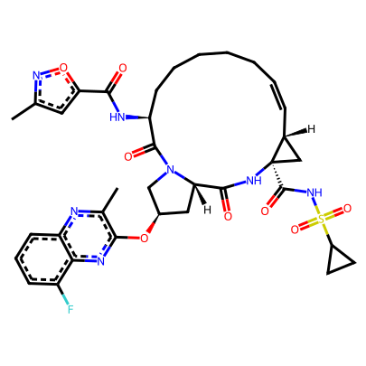 Cc1cc(C(=O)N[C@H]2CCCCCC=C[C@@H]3C[C@@]3(C(=O)NS(=O)(=O)C3CC3)NC(=O)[C@@H]3C[C@@H](Oc4nc5c(F)cccc5nc4C)CN3C2=O)on1